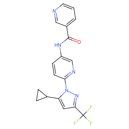 O=C(Nc1ccc(-n2nc(C(F)(F)F)cc2C2CC2)nc1)c1cccnc1